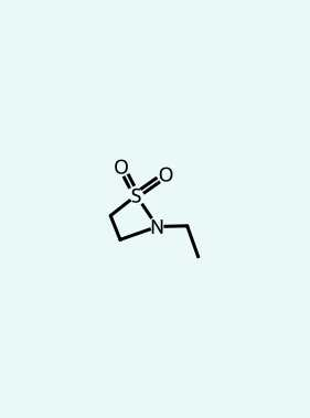 CCN1CCS1(=O)=O